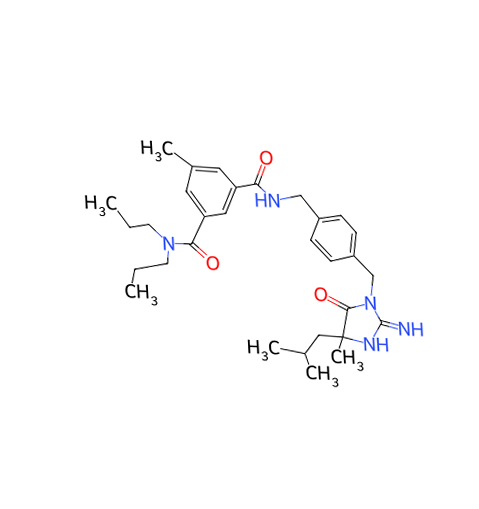 CCCN(CCC)C(=O)c1cc(C)cc(C(=O)NCc2ccc(CN3C(=N)NC(C)(CC(C)C)C3=O)cc2)c1